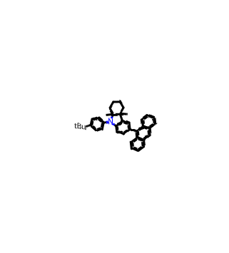 CC(C)(C)c1ccc(N2c3ccc(-c4c5ccccc5cc5ccccc45)cc3C3(C)CCCCC23C)cc1